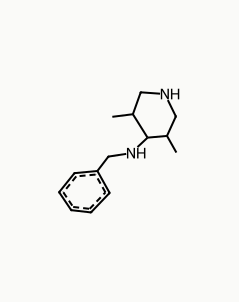 CC1CNCC(C)C1NCc1ccccc1